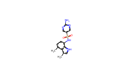 Cc1ccc(NS(=O)(=O)c2cnc(N)nc2)c2[nH]cc(C)c12